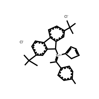 C/[C](c1ccc(C)cc1)=[Zr+2](/[C]1=CC=CC1)[CH]1c2cc(C(C)(C)C)ccc2-c2ccc(C(C)(C)C)cc21.[Cl-].[Cl-]